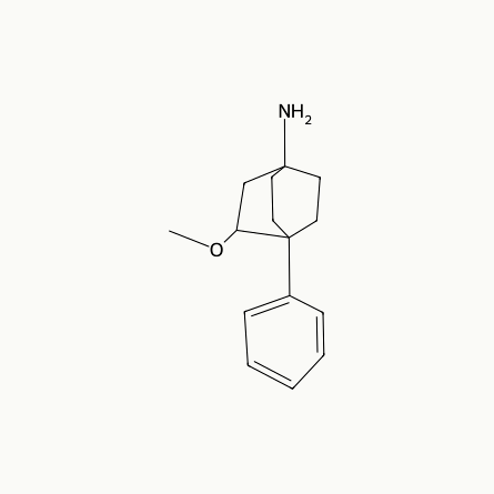 COC1CC2(N)CCC1(c1ccccc1)CC2